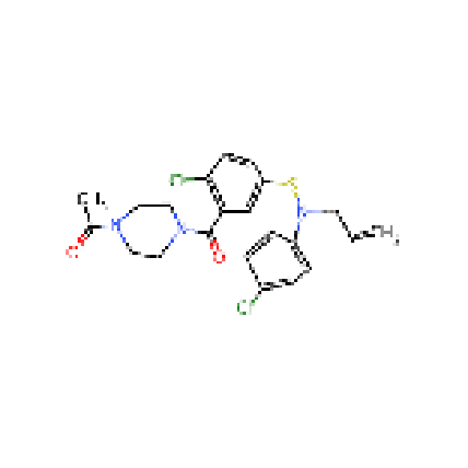 C=CCN(Sc1ccc(Cl)c(C(=O)N2CCN(C(C)=O)CC2)c1)c1ccc(Cl)cc1